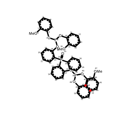 COc1ccccc1OP(Oc1ccccc1OC)Oc1ccccc1P(=O)(c1ccccc1)c1ccccc1OP(Oc1ccccc1OC)Oc1ccccc1OC